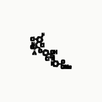 COC(=O)c1ccnc(N2CC(O)(c3ccc(OCc4c(-c5c(Cl)cc(F)cc5Cl)noc4C4CC4)cc3Cl)C2)c1